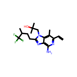 C=Cc1nc(N)c2nc(CCC(C)C(F)(F)F)n(CC(C)(C)O)c2c1C